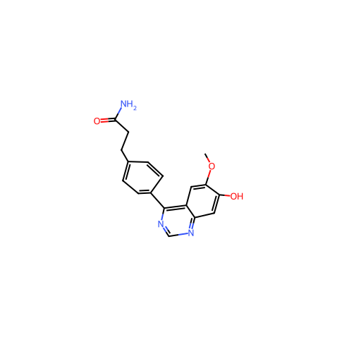 COc1cc2c(-c3ccc(CCC(N)=O)cc3)ncnc2cc1O